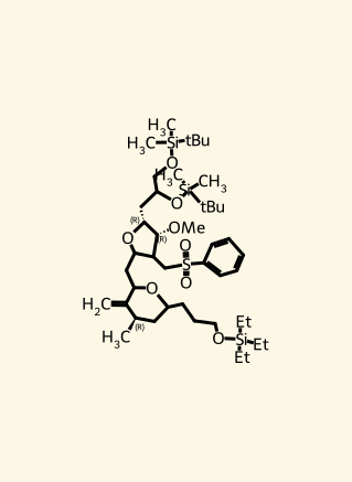 C=C1C(CC2O[C@H](CC(CO[Si](C)(C)C(C)(C)C)O[Si](C)(C)C(C)(C)C)[C@H](OC)C2CS(=O)(=O)c2ccccc2)OC(CCCO[Si](CC)(CC)CC)C[C@H]1C